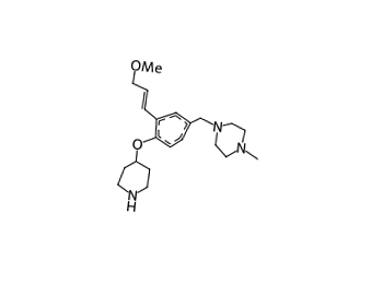 COC/C=C/c1cc(CN2CCN(C)CC2)ccc1OC1CCNCC1